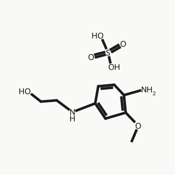 COc1cc(NCCO)ccc1N.O=S(=O)(O)O